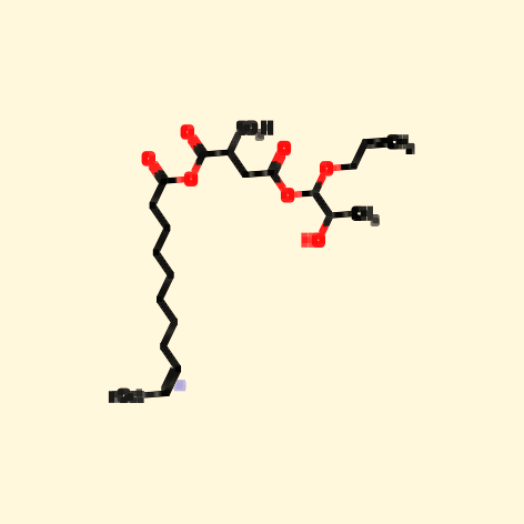 C=CCOC(OC(=O)CC(C(=O)OC(=O)CCCCCCC/C=C\CCCCCCCC)S(=O)(=O)O)C(C)O